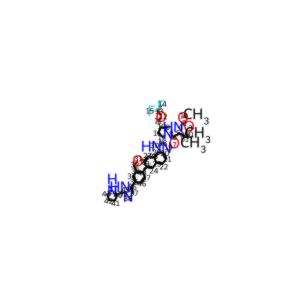 COC(=O)N[C@H](C(=O)N1C[C@@H](COC(F)F)C[C@H]1c1nc2ccc3cc4c(cc3c2[nH]1)OCc1cc(-c2cnc(C3CCCN3)[nH]2)ccc1-4)C(C)C